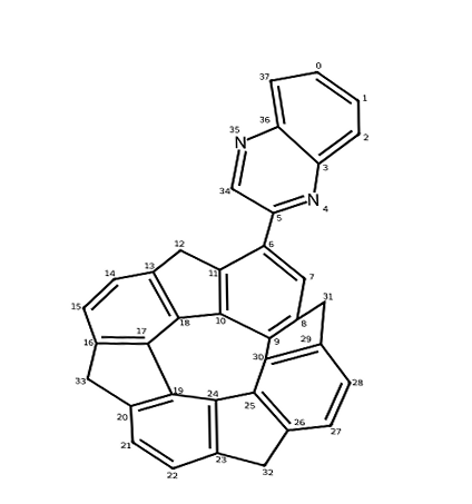 c1ccc2nc(-c3cc4c5c6c3Cc3ccc7c(c3-6)-c3c(ccc6c3-c3c(ccc(c3-5)C4)C6)C7)cnc2c1